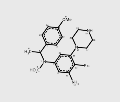 COc1ccc(C(C)N(C(=O)O)c2cc(N)c(F)c(N3CCNCC3)c2)cc1